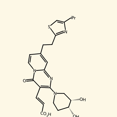 CC(C)c1csc(CCc2ccn3c(=O)c(/C=C/C(=O)O)c(N4CC[C@@H](O)[C@@H](O)C4)nc3c2)n1